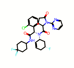 O=C(NC1CCC(F)(F)CC1)[C@H](c1ccccc1Cl)N(C(=O)C1CCC(=O)N1c1ncccn1)[C@H]1C=CC[C@@H](F)C1